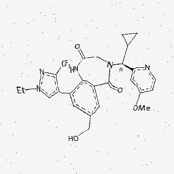 CCn1cc(-c2cc(CO)cc3c2NC(=O)CN([C@H](c2cc(OC)ccn2)C2CC2)C3=O)c(C(F)(F)F)n1